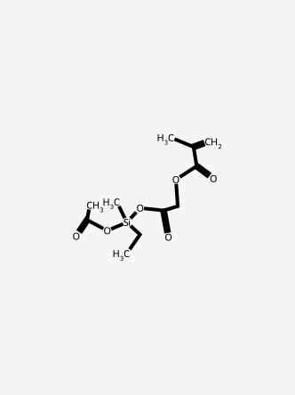 C=C(C)C(=O)OCC(=O)O[Si](C)(CC)OC(C)=O